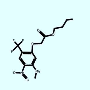 CCCCOC(=O)COc1cc(NC)c([N+](=O)[O-])cc1C(F)(F)F